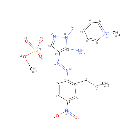 COCc1cc([N+](=O)[O-])ccc1N=Nc1cnn(Cc2cc[n+](C)cc2)c1N.COS(=O)(=O)[O-]